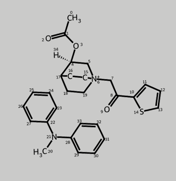 CC(=O)O[C@H]1C[N+]2(CC(=O)c3cccs3)CCC1CC2.CN(c1ccccc1)c1ccccc1